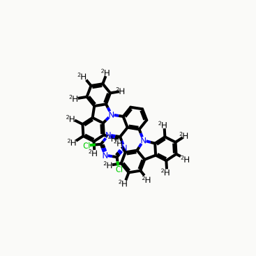 [2H]c1c([2H])c([2H])c2c(c1[2H])c1c([2H])c([2H])c([2H])c([2H])c1n2-c1cccc(-n2c3c([2H])c([2H])c([2H])c([2H])c3c3c([2H])c([2H])c([2H])c([2H])c32)c1-c1nc(Cl)nc(Cl)n1